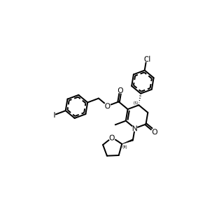 CC1=C(C(=O)OCc2ccc(I)cc2)[C@H](c2ccc(Cl)cc2)CC(=O)N1C[C@H]1CCCO1